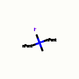 CCCCC[N+](C)(C)CCCCC.[I-]